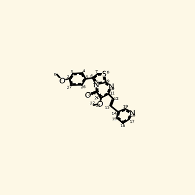 COc1ccc(-c2csc3nc(/C=C/c4cccnc4)c(OC)c(=O)n23)cc1